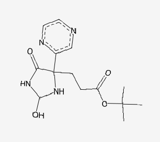 CC(C)(C)OC(=O)CCC1(c2cnccn2)NC(O)NC1=O